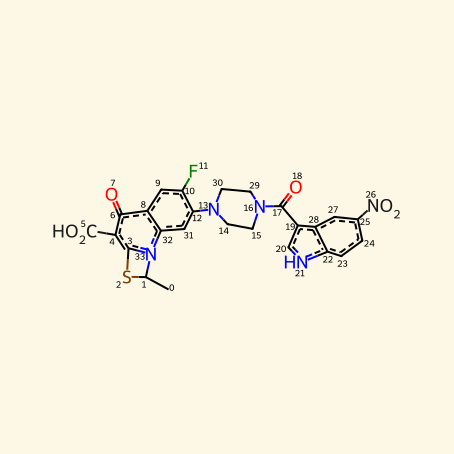 CC1Sc2c(C(=O)O)c(=O)c3cc(F)c(N4CCN(C(=O)c5c[nH]c6ccc([N+](=O)[O-])cc56)CC4)cc3n21